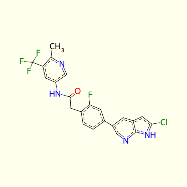 Cc1ncc(NC(=O)Cc2ccc(-c3cnc4[nH]c(Cl)cc4c3)cc2F)cc1C(F)(F)F